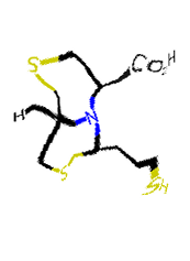 O=C(O)[C@@H]1CS[C@H]2CS[C@H](CS)N21